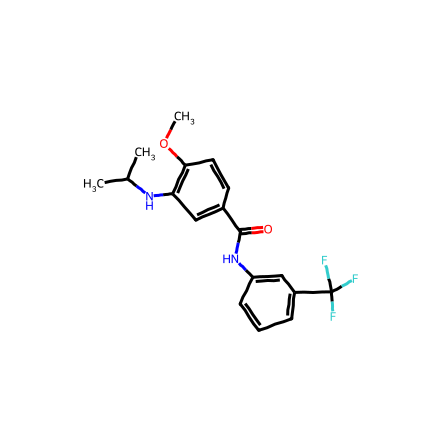 COc1ccc(C(=O)Nc2cccc(C(F)(F)F)c2)cc1NC(C)C